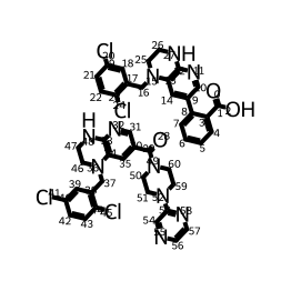 O=C(O)c1ccccc1-c1cnc2c(c1)N(Cc1cc(Cl)ccc1Cl)CCN2.O=C(c1cnc2c(c1)N(Cc1cc(Cl)ccc1Cl)CCN2)N1CCN(c2cnccn2)CC1